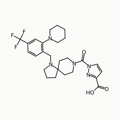 O=C(O)c1ccn(C(=O)N2CCC3(CCCN3Cc3ccc(C(F)(F)F)cc3N3CCCCC3)CC2)n1